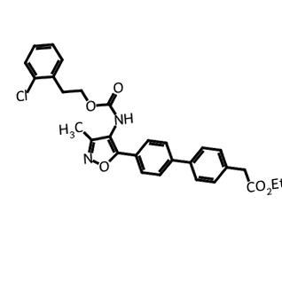 CCOC(=O)Cc1ccc(-c2ccc(-c3onc(C)c3NC(=O)OCCc3ccccc3Cl)cc2)cc1